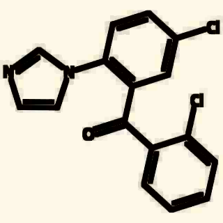 O=C(c1ccccc1Cl)c1cc(Cl)ccc1-n1ccnc1